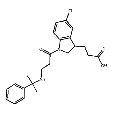 CC(C)(NCCC(=O)N1CC(CCC(=O)O)c2cc(Cl)ccc21)c1ccccc1